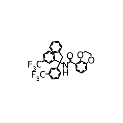 O=C(NC(Cc1ccccc1)(c1cccc(C(F)(F)F)c1)c1cccc(C(F)(F)F)c1)c1cccc2c1OCCO2